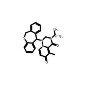 CC[C@H](N1CN(C2c3ccccc3CSc3ccccc32)n2ccc(=O)c(C)c2C1=O)C(C)(C)C